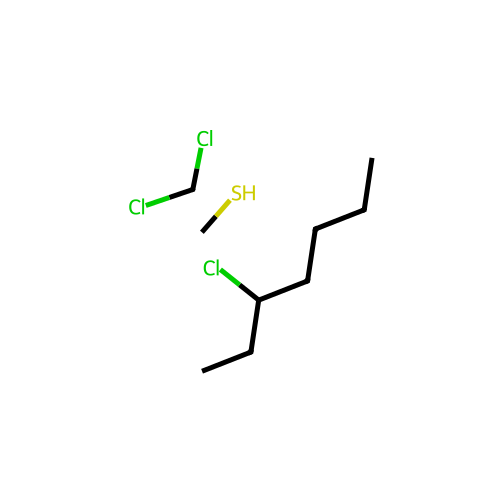 CCCCC(Cl)CC.CS.ClCCl